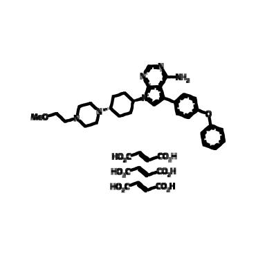 COCCN1CCN([C@H]2CC[C@H](n3cc(-c4ccc(Oc5ccccc5)cc4)c4c(N)ncnc43)CC2)CC1.O=C(O)C=CC(=O)O.O=C(O)C=CC(=O)O.O=C(O)C=CC(=O)O